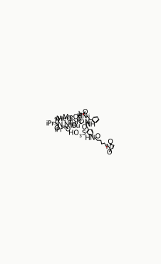 CC[C@H](C)[C@@H]([C@@H](CC(=O)N1CCC[C@H]1[C@H](OC)[C@@H](C)C(=O)N[C@H](C)C(=NNC(=O)c1ccc(NC(=O)CCCCCN2C(=O)C=CC2=O)cc1S(=O)(=O)O)c1ccccc1)OC)N(C)C(=O)[C@@H](NC(=O)[C@H](C(C)C)N(C)C)C(C)C